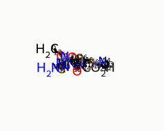 C=CCO/N=C(/C(=O)NC1C(=O)N2C(C(=O)O)=C(CS/C=C/c3ccccn3)CS[C@H]12)c1nsc(N)n1